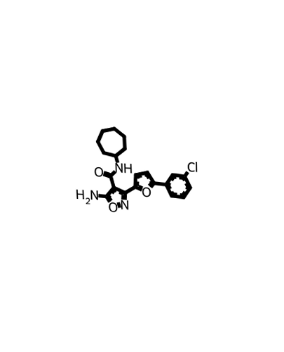 Nc1onc(-c2ccc(-c3cccc(Cl)c3)o2)c1C(=O)NC1CCCCCC1